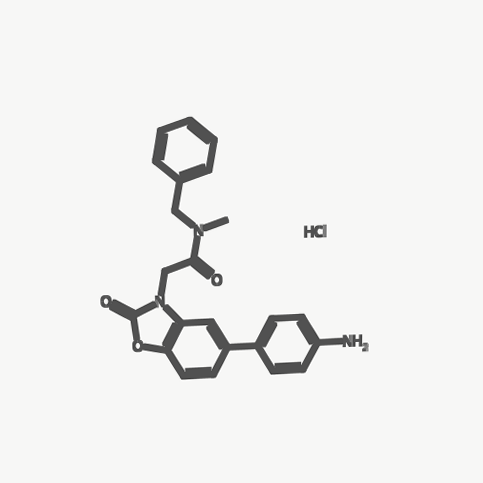 CN(Cc1ccccc1)C(=O)Cn1c(=O)oc2ccc(-c3ccc(N)cc3)cc21.Cl